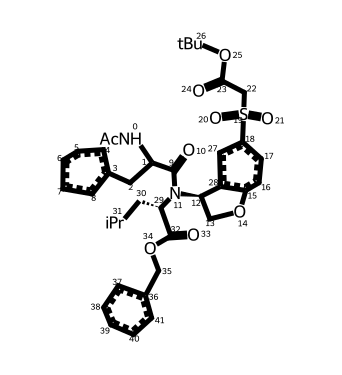 CC(=O)NC(Cc1ccccc1)C(=O)N([C@@H]1COc2ccc(S(=O)(=O)CC(=O)OC(C)(C)C)cc21)[C@@H](CC(C)C)C(=O)OCc1ccccc1